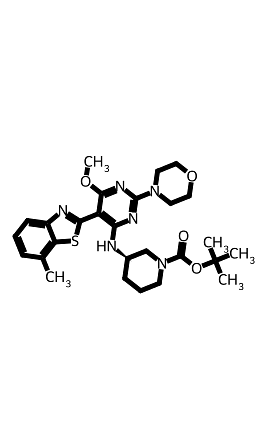 COc1nc(N2CCOCC2)nc(N[C@@H]2CCCN(C(=O)OC(C)(C)C)C2)c1-c1nc2cccc(C)c2s1